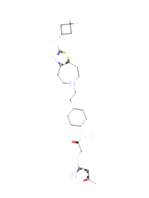 Cc1cc(OCC(=O)N[C@H]2CC[C@H](CCN3CCc4nc(OC5CC(F)(F)C5)sc4CC3)CC2)no1